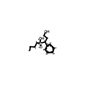 CCCCP(=O)(O)C(CCO)c1ccccc1